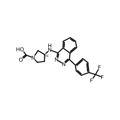 O=C(O)N1CC[C@H](Nc2nnc(-c3ccc(C(F)(F)F)cc3)c3ccccc23)C1